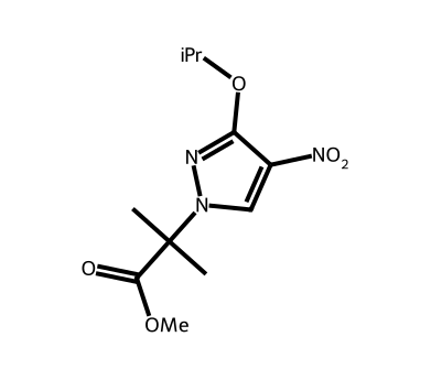 COC(=O)C(C)(C)n1cc([N+](=O)[O-])c(OC(C)C)n1